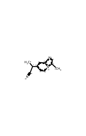 Cc1cnc2cc(C(C)C#N)ccn12